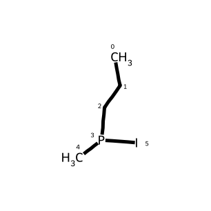 CCCP(C)I